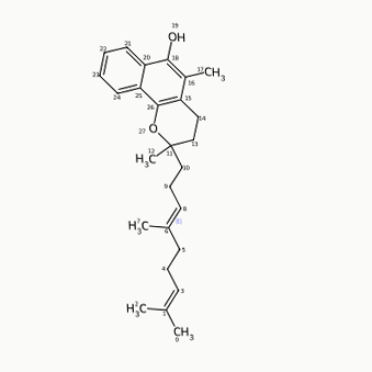 CC(C)=CCC/C(C)=C/CCC1(C)CCc2c(C)c(O)c3ccccc3c2O1